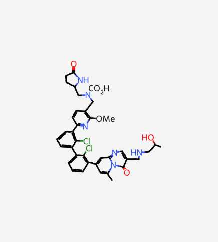 COc1nc(-c2cccc(-c3cccc(-c4cc(C)n5c(=O)c(CNCC(C)O)cnc5c4)c3Cl)c2Cl)ccc1CN(CC1CCC(=O)N1)C(=O)O